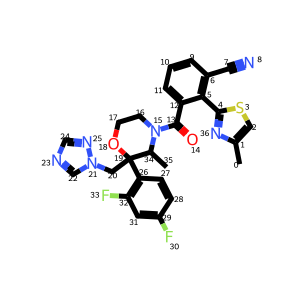 Cc1csc(-c2c(C#N)cccc2C(=O)N2CCOC(Cn3cncn3)(c3ccc(F)cc3F)C2C)n1